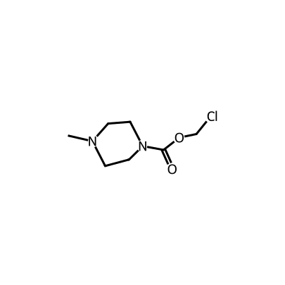 CN1CCN(C(=O)OCCl)CC1